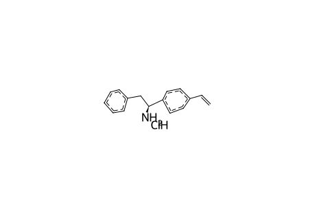 C=Cc1ccc([C@@H](N)Cc2ccccc2)cc1.Cl